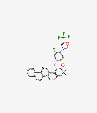 CC1(C)C=c2ccc3c(ccc4c5ccccc5ccc34)c2=C(Cc2ccc(N3C=C(C(F)(F)F)OC3)c(F)c2)C1=O